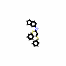 C(=CC(=Nc1ccc2c(c1)CCC2)Sc1ccccc1)Sc1ccccc1